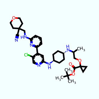 CC(COC1(C(=O)OC(C)(C)C)CC1)N[C@H]1CC[C@H](Nc2cc(-c3cccc(NCC4(C#N)CCOCC4)n3)c(Cl)cn2)CC1